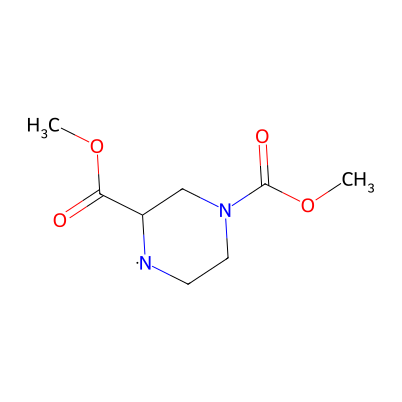 COC(=O)C1CN(C(=O)OC)CC[N]1